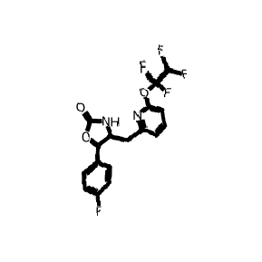 O=C1NC(Cc2cccc(OC(F)(F)C(F)F)n2)C(c2ccc(F)cc2)O1